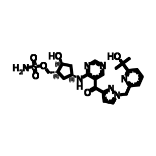 CC(C)(O)c1cccc(Cn2ccc(C(=O)c3cncnc3N[C@@H]3C[C@H](COS(N)(=O)=O)[C@@H](O)C3)n2)n1